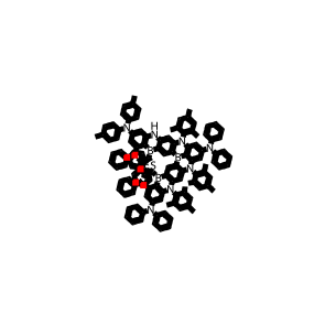 Cc1ccc(N(c2ccc(C)cc2)c2cc3c4c(c2)N(c2ccccc2)c2c(sc5ccccc25)B4c2cc4c(cc2N3)N(c2c(C)cc(C)cc2C)c2cc(N(c3ccccc3)c3ccccc3)cc3c2B4c2cc4c(cc2N3c2c(C)cc(C)cc2C)N(c2c(C)cc(C)cc2C)c2cc(N(c3ccccc3)c3ccccc3)cc3c2B4c2sc4ccccc4c2N3c2ccccc2)cc1